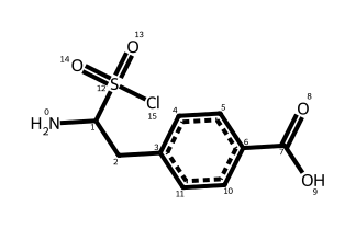 NC(Cc1ccc(C(=O)O)cc1)S(=O)(=O)Cl